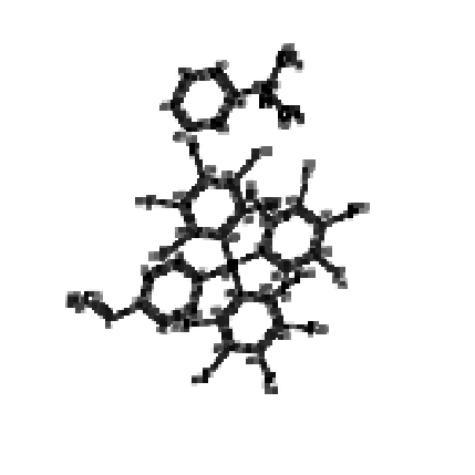 C=Cc1ccc([B-](c2c(F)c(F)c(F)c(F)c2F)(c2c(F)c(F)c(F)c(F)c2F)c2c(F)c(F)c(F)c(F)c2F)cc1.C[NH+](C)c1ccccc1